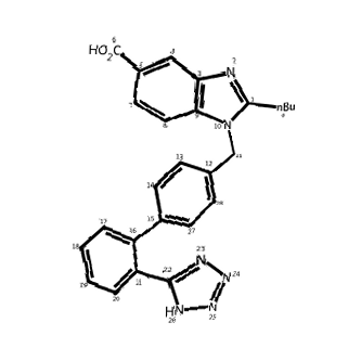 CCCCc1nc2cc(C(=O)O)ccc2n1Cc1ccc(-c2ccccc2-c2nnn[nH]2)cc1